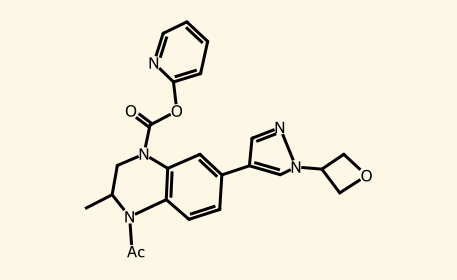 CC(=O)N1c2ccc(-c3cnn(C4COC4)c3)cc2N(C(=O)Oc2ccccn2)CC1C